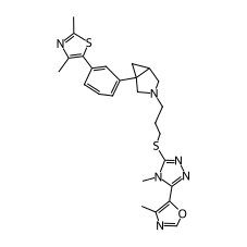 Cc1nc(C)c(-c2cccc(C34CC3CN(CCCSc3nnc(-c5ocnc5C)n3C)C4)c2)s1